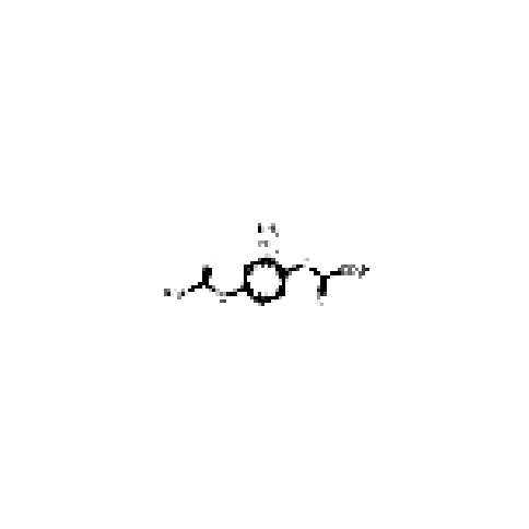 N.N.O=C(O)C(=O)Oc1ccc(OC(=O)C(=O)O)cc1